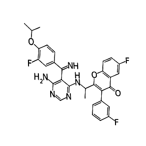 CC(C)Oc1ccc(C(=N)c2c(N)ncnc2NC(C)c2oc3ccc(F)cc3c(=O)c2-c2cccc(F)c2)cc1F